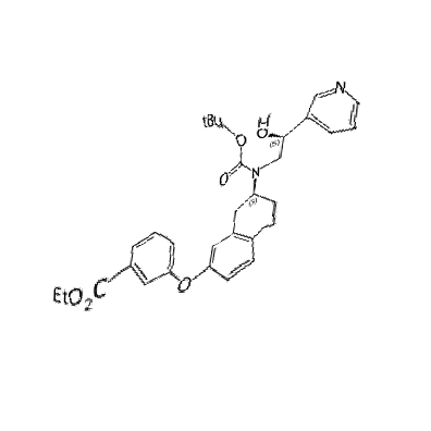 CCOC(=O)c1cccc(Oc2ccc3c(c2)C[C@@H](N(C[C@@H](O)c2cccnc2)C(=O)OC(C)(C)C)CC3)c1